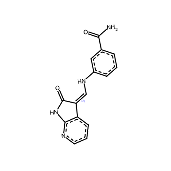 NC(=O)c1cccc(N/C=C2\C(=O)Nc3ncccc32)c1